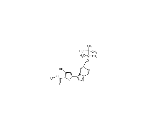 COC(=O)c1sc(-c2cnc3cnc(CO[Si](C)(C)C(C)(C)C)cn23)cc1O